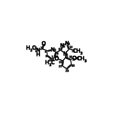 CNC(=O)c1cccc(-c2nnc(C)n2-c2c(OC)cccc2OC)n1